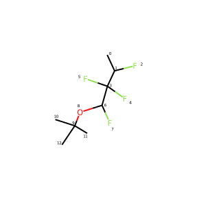 CC(F)C(F)(F)C(F)OC(C)(C)C